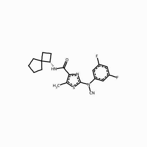 Cc1sc(N(C#N)c2cc(F)cc(F)c2)nc1C(=O)N[C@H]1CCC12CCCC2